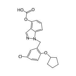 O=C(O)Oc1cccc2c1cnn2Cc1cc(Cl)ccc1OC1CCCC1